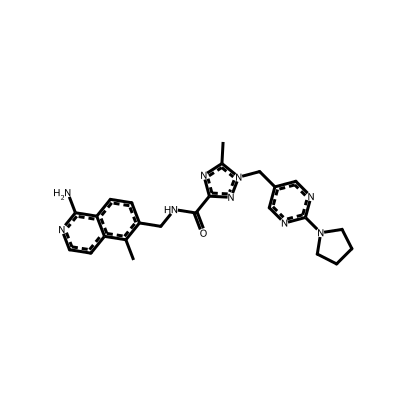 Cc1c(CNC(=O)c2nc(C)n(Cc3cnc(N4CCCC4)nc3)n2)ccc2c(N)nccc12